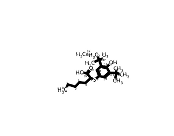 CCCCCC(Sc1cc(C(C)(C)C)c(O)c(C(C)(C)C)c1)C(=O)O.[CaH2]